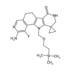 C[Si](C)(C)CCOCn1c2c(c3c1C1(CC1)CNC3=O)CCc1cnc(N)c(F)c1-2